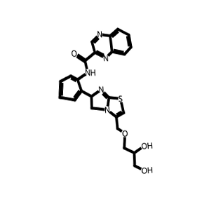 O=C(Nc1ccccc1C1CN2C(COCC(O)CO)=CSC2=N1)c1cnc2ccccc2n1